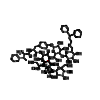 CC(c1ccccc1)C(N)C(=O)NC(Cc1ccc(OC2OC(CO)C(OC3OC(COCC=C(c4ccccc4)c4ccccc4)C(O)C(O)C3O)C(O)C2O)cc1)C(=O)NC(C(=O)NC(C(=O)NC([C]=O)CO)C(O)C1CNC(=N)N1C1OC(CO)C(O)C(O)C1O)C(O)C1CNC(=N)N1